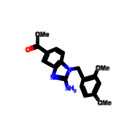 COC(=O)c1ccc2c(c1)nc(N)n2Cc1ccc(OC)cc1OC